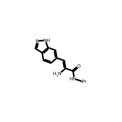 CC(C)NC(=O)/C(N)=C/c1ccc2cn[nH]c2c1